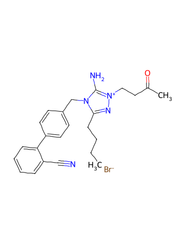 CCCCc1n[n+](CCC(C)=O)c(N)n1Cc1ccc(-c2ccccc2C#N)cc1.[Br-]